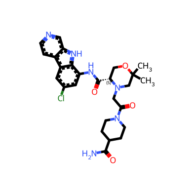 CC1(C)CN(CC(=O)N2CCC(C(N)=O)CC2)[C@H](C(=O)Nc2cc(Cl)cc3c2[nH]c2cnccc23)CO1